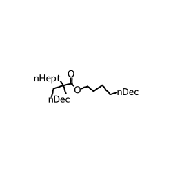 CCCCCCCCCCCCCCOC(=O)C(C)(CCCCCCC)CCCCCCCCCCC